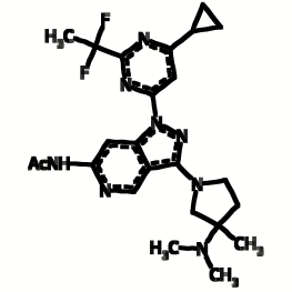 CC(=O)Nc1cc2c(cn1)c(N1CCC(C)(N(C)C)C1)nn2-c1cc(C2CC2)nc(C(C)(F)F)n1